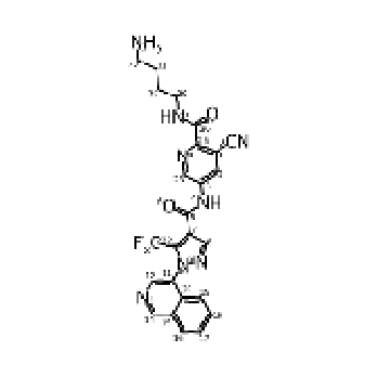 N#Cc1cc(NC(=O)c2cnn(-c3cncc4ccccc34)c2C(F)(F)F)cnc1C(=O)NCCCCN